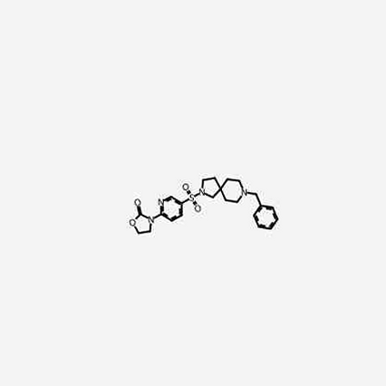 O=C1OCCN1c1ccc(S(=O)(=O)N2CCC3(CCN(Cc4ccccc4)CC3)C2)cn1